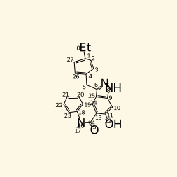 CCc1ccc(Cc2n[nH]c3cc(O)c(C(=O)N(C)c4ccccc4)cc23)cc1